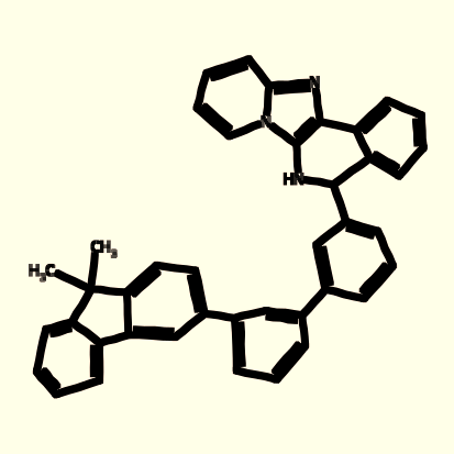 CC1(C)c2ccccc2-c2cc(-c3cccc(-c4cccc(C5Nc6c(nc7ccccn67)-c6ccccc65)c4)c3)ccc21